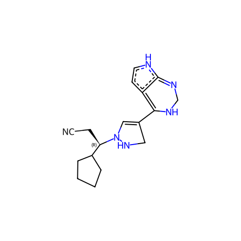 N#CC[C@H](C1CCCC1)N1C=C(C2=c3cc[nH]c3=NCN2)CN1